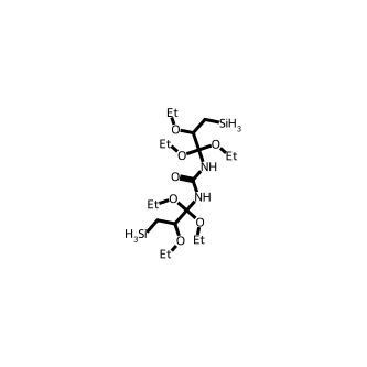 CCOC(C[SiH3])C(NC(=O)NC(OCC)(OCC)C(C[SiH3])OCC)(OCC)OCC